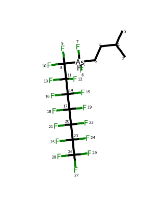 CC(C)CC[AsH](F)(F)C(F)(F)C(F)(F)C(F)(F)C(F)(F)C(F)(F)C(F)(F)C(F)(F)F